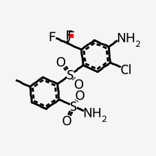 Cc1ccc(S(N)(=O)=O)c(S(=O)(=O)c2cc(Cl)c(N)cc2C(F)(F)F)c1